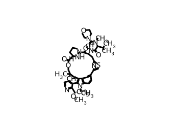 CCn1c(-c2cccnc2[C@H](C)OC)c2c3cc(ccc31)-c1csc(n1)C[C@H](NC(=O)C(C(C)C)N(C)C(=O)N1CCOCC1)C(=O)N1CCC[C@H](N1)C(=O)OCC(C)(C)C2